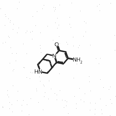 Nc1cc2n(c(=O)c1)CC1CNCC2C1